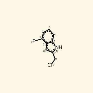 Fc1cccc2[nH]c(CCl)cc12